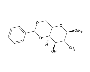 CO[C@@H]1OC2COC(c3ccccc3)O[C@@H]2[C@H](O)C1C